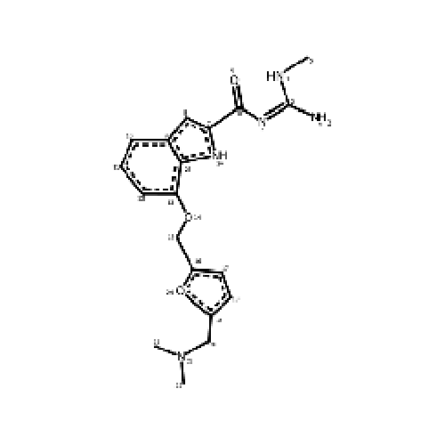 CNC(N)=NC(=O)c1cc2cccc(OCc3ccc(CN(C)C)o3)c2[nH]1